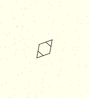 [CH]1C2CC2CC2CC12